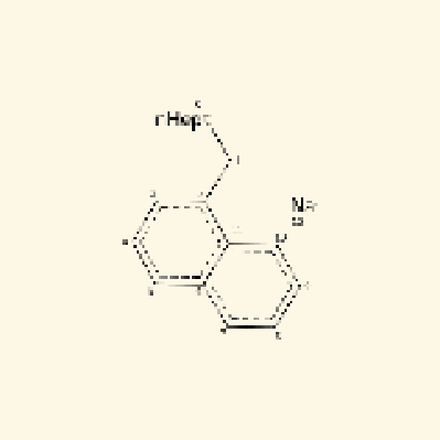 CCCCCCCCc1cccc2ccccc12.[Na]